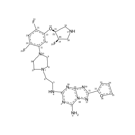 Nc1nc(NCCN2CCN(c3cc(O[C@H]4CNC[C@H]4F)c(F)cc3F)CC2)nc2nc(-c3ccco3)nn12